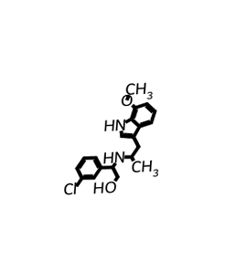 COc1cccc2c(CC(C)NC(CO)c3cccc(Cl)c3)c[nH]c12